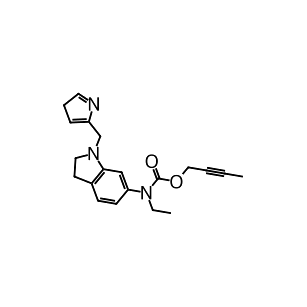 CC#CCOC(=O)N(CC)c1ccc2c(c1)N(CC1=CCC=N1)CC2